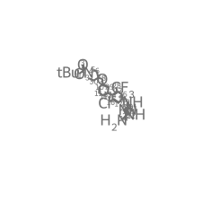 CC(C)(C)OC(=O)N1CCC(Oc2cccc(-c3c(Cl)cc(Nc4n[nH]c(N)n4)cc3C(F)(F)F)c2)CC1